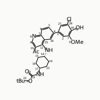 COc1cc(-c2ccc3ncc(C(C)=O)c(N[C@H]4CC[C@H](NC(=O)OC(C)(C)C)CC4)c3c2)cc(Cl)c1O